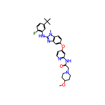 COC1CCN(CC(=O)Nc2cc(Oc3ccc4c(c3)nc(Nc3cc(C(C)(C)C)ccc3F)n4C)ccn2)CC1